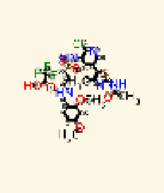 COc1ccc(CNCCCS(=O)(=O)Nc2cc(-c3sc(NC(C)=O)nc3C)cnc2Cl)c(OC)c1.O=C(O)C(F)(F)F